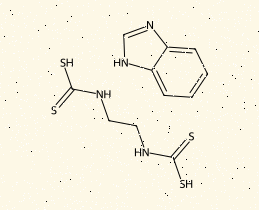 S=C(S)NCCNC(=S)S.c1ccc2[nH]cnc2c1